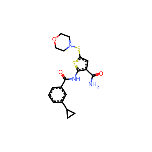 NC(=O)c1cc(SN2CCOCC2)sc1NC(=O)c1cccc(C2CC2)c1